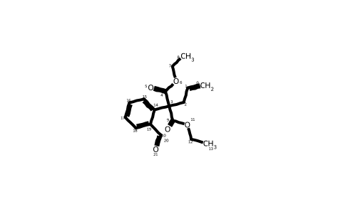 C=CCC(C(=O)OCC)(C(=O)OCC)c1ccccc1C=O